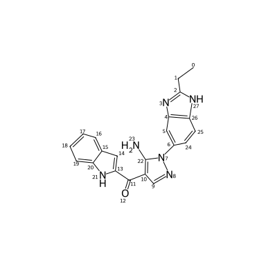 CCc1nc2cc(-n3ncc(C(=O)c4cc5ccccc5[nH]4)c3N)ccc2[nH]1